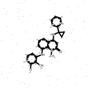 Cn1c(=O)cc(NC2(c3ncccn3)CC2)c2cccc(Nc3ccnc(Cl)c3C#N)c21